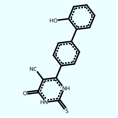 N#Cc1c(-c2ccc(-c3ccccc3O)cc2)[nH]c(=S)[nH]c1=O